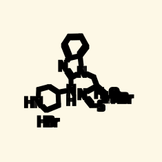 Br.Br.Br.O.c1ccc2c(c1)nc(NC1CCNCC1)n2Cc1cscn1